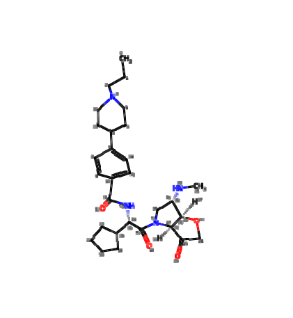 CCCN1CCC(c2ccc(C(=O)N[C@H](C(=O)N3C[C@H](NC)[C@H]4OCC(=O)[C@H]43)C3CCCC3)cc2)CC1